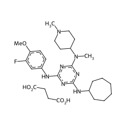 COc1ccc(Nc2nc(NC3CCCCCC3)nc(N(C)C3CCN(C)CC3)n2)cc1F.O=C(O)CCC(=O)O